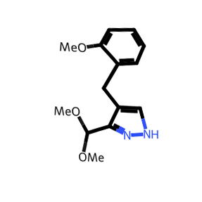 COc1ccccc1Cc1c[nH]nc1C(OC)OC